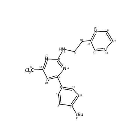 CC(C)(C)c1ccc(-c2nc(NCCc3cnccn3)nc(C(Cl)(Cl)Cl)n2)cc1